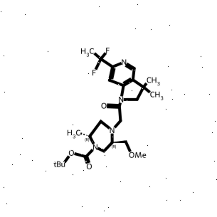 COC[C@H]1CN(C(=O)OC(C)(C)C)[C@H](C)CN1CC(=O)N1CC(C)(C)c2cnc(C(C)(F)F)cc21